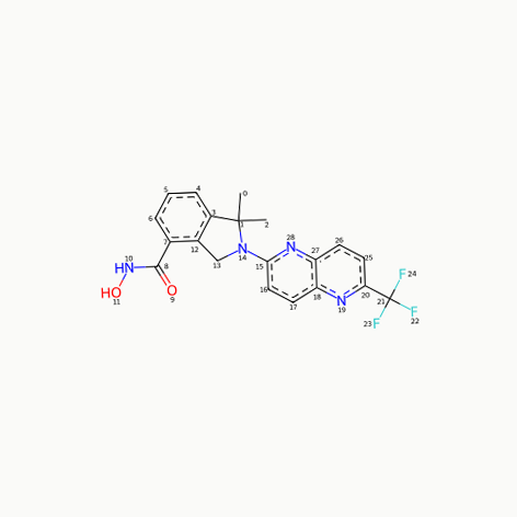 CC1(C)c2cccc(C(=O)NO)c2CN1c1ccc2nc(C(F)(F)F)ccc2n1